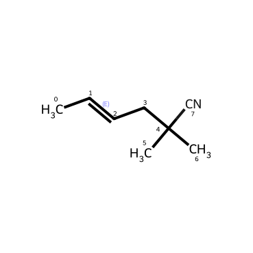 C/C=C/CC(C)(C)C#N